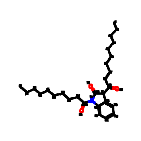 CCCCCCCCCC(=O)C1C(=O)N(C(=O)CCCCCCCCC)c2ccccc21